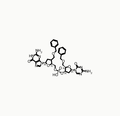 Nc1ncn([C@H]2C[C@@H](OP(=O)(O)OC[C@H]3O[C@@H](n4cnc5c(=O)[nH]c(N)nc54)CC3COCc3ccccc3)[C@@H](COCc3ccccc3)O2)c(=O)n1